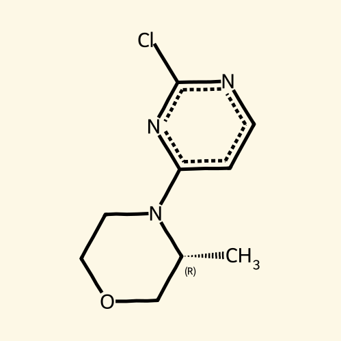 C[C@@H]1COCCN1c1ccnc(Cl)n1